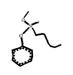 CCCC[Si](I)(OC)Oc1ccccc1